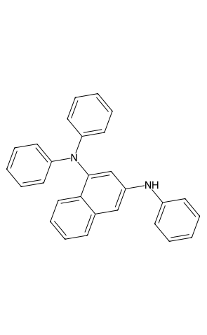 c1ccc(Nc2cc(N(c3ccccc3)c3ccccc3)c3ccccc3c2)cc1